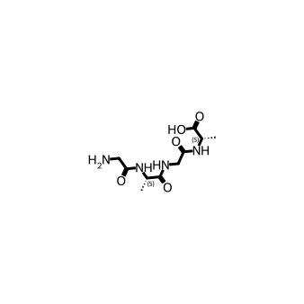 C[C@H](NC(=O)CNC(=O)[C@H](C)NC(=O)CN)C(=O)O